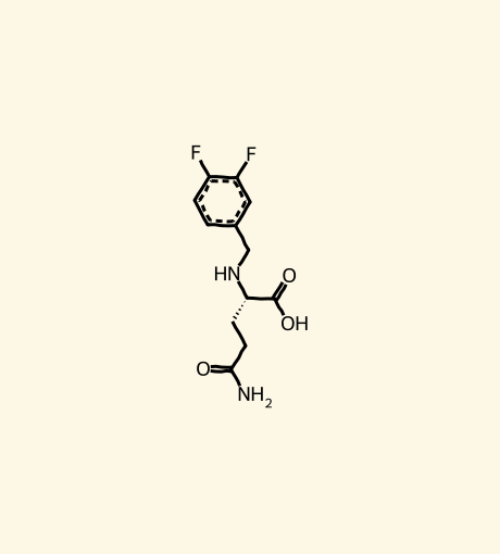 NC(=O)CC[C@H](NCc1ccc(F)c(F)c1)C(=O)O